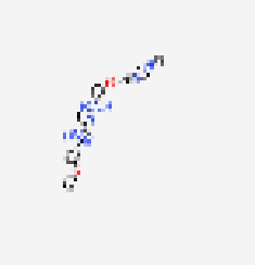 CCN1CCN(CCCOc2cccc(Nc3nccc(-c4cnc(-c5cccc(Oc6ccccc6)c5)[nH]4)n3)c2)CC1